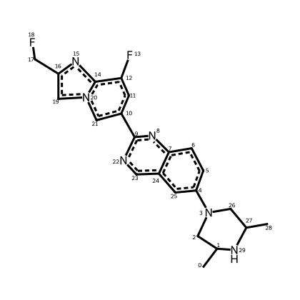 CC1CN(c2ccc3nc(-c4cc(F)c5nc(CF)cn5c4)ncc3c2)CC(C)N1